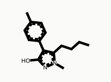 CCCCc1c(-c2ccc(C)cc2)c(O)nn1C